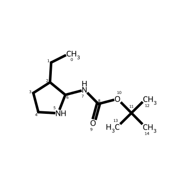 CCC1CCNC1NC(=O)OC(C)(C)C